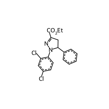 CCOC(=O)C1=NN(c2ccc(Cl)cc2Cl)C(c2ccccc2)C1